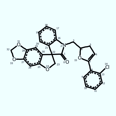 O=C1N(CC2CC=C(c3ccccc3Cl)O2)c2ccccc2C12COc1cc3c(cc12)OCO3